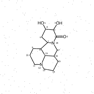 O=C1C(O)C(O)CC2C3CCCN4CCCC(CN12)C34